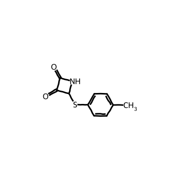 Cc1ccc(SC2NC(=O)C2=O)cc1